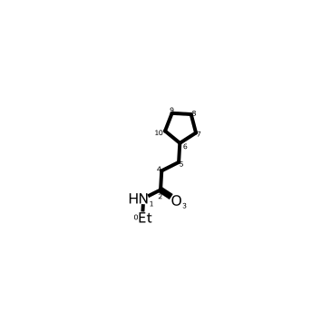 CCNC(=O)CCC1CCCC1